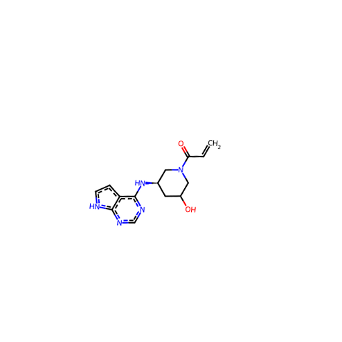 C=CC(=O)N1CC(O)C[C@@H](Nc2ncnc3[nH]ccc23)C1